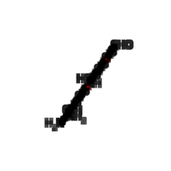 NCCCC[C@H](N)C(=O)NCCCOCCOCCOCCCNC(O)CCOCCOCCOCCOCCOCCC=O